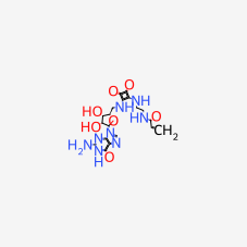 C=CC(=O)NCCNc1c(NC[C@H]2O[C@@H](n3cnc4c(=O)[nH]c(N)nc43)[C@H](O)[C@H]2O)c(=O)c1=O